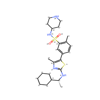 Cc1ccc(-c2sc(N[C@H](C)C3CCCCC3)nc2C)cc1S(=O)(=O)NC1CCNCC1